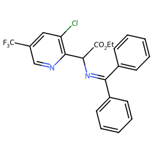 CCOC(=O)C(N=C(c1ccccc1)c1ccccc1)c1ncc(C(F)(F)F)cc1Cl